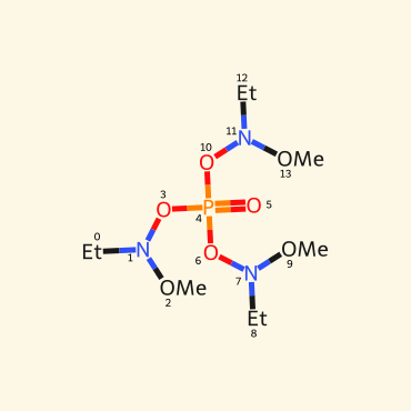 CCN(OC)OP(=O)(ON(CC)OC)ON(CC)OC